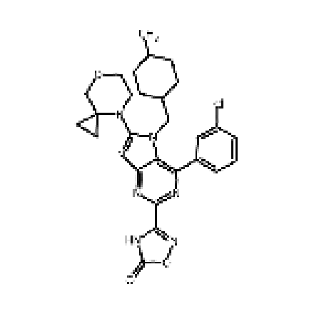 CC1CCC(Cn2c(N3CCOCC34CC4)nc3nc(-c4noc(=O)[nH]4)nc(-c4cccc(Cl)c4)c32)CC1